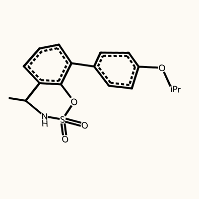 CC(C)Oc1ccc(-c2cccc3c2OS(=O)(=O)NC3C)cc1